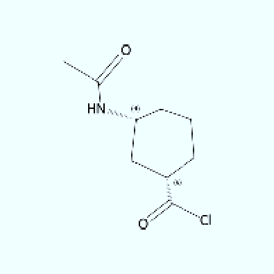 CC(=O)N[C@@H]1CCC[C@H](C(=O)Cl)C1